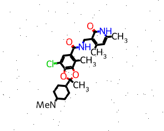 CNC1CCC(C2(C)Oc3c(Cl)cc(C(=O)NCc4c(C)cc(C)[nH]c4=O)c(C)c3O2)CC1